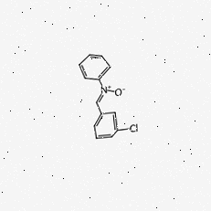 [O-][N+](=Cc1cccc(Cl)c1)c1ccccc1